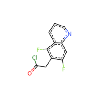 O=C(Cl)Cc1c(F)cc2ncccc2c1F